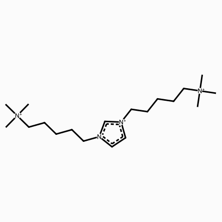 C[N+](C)(C)CCCCCn1cc[n+](CCCCC[N+](C)(C)C)c1